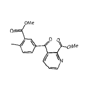 COC(=O)c1cc(C(=O)c2cccnc2C(=O)OC)ccc1C